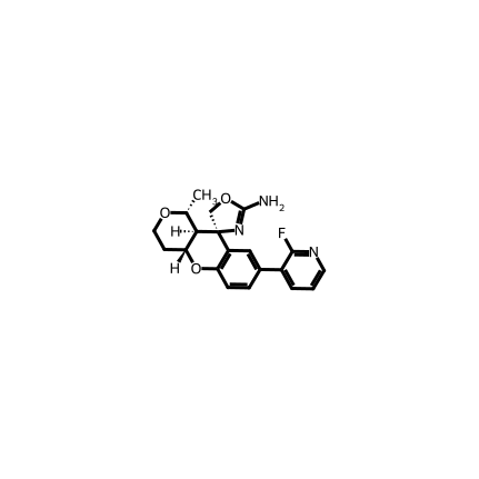 C[C@H]1OCC[C@H]2Oc3ccc(-c4cccnc4F)cc3[C@@]3(COC(N)=N3)[C@H]12